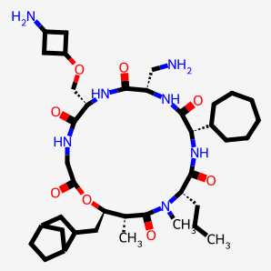 CCC[C@H]1C(=O)N[C@@H](C2CCCCCC2)C(=O)N[C@@H](CN)C(=O)N[C@@H](COC2CC(N)C2)C(=O)NCC(=O)O[C@H](CC2CC3CCC2C3)[C@@H](C)C(=O)N1C